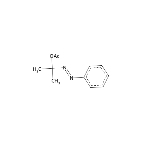 CC(=O)OC(C)(C)N=Nc1ccccc1